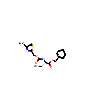 CSC[C@H](NC(=O)OCc1nc(C)cs1)C(=O)OCc1ccccc1